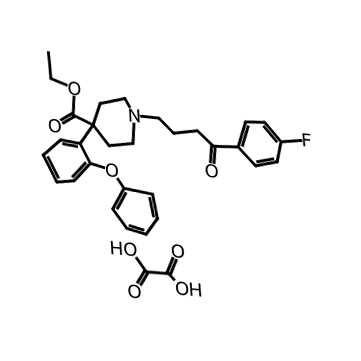 CCOC(=O)C1(c2ccccc2Oc2ccccc2)CCN(CCCC(=O)c2ccc(F)cc2)CC1.O=C(O)C(=O)O